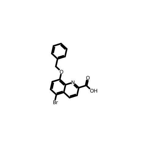 O=C(O)c1ccc2c(Br)ccc(OCc3ccccc3)c2n1